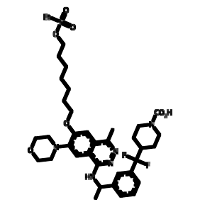 CCS(=O)(=O)OCCCCCCCOc1cc2c(C)nnc(NC(C)c3cccc(C(F)(F)C4CCN(C(=O)O)CC4)c3)c2cc1N1CCOCC1